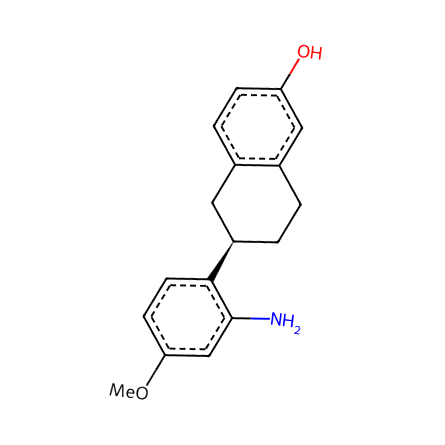 COc1ccc([C@@H]2CCc3cc(O)ccc3C2)c(N)c1